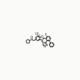 Cn1cnnc1-c1c(-c2ccccc2)ccc(F)c1-c1nc2cc(CNC3CCCC3)cc(C(F)(F)F)c2o1